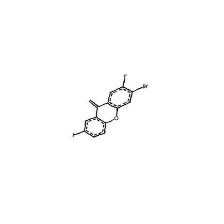 C=C1c2cc(I)ccc2Oc2cc(Br)c(F)cc21